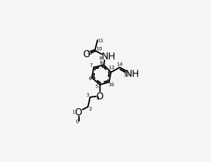 COCCOc1ccc(NC(C)=O)c(C=N)c1